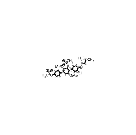 COc1cc(-c2ccc(OS(C)(=O)=O)cc2)c(OC)c(OS(C)(=O)=O)c1-c1ccc(OCC=C(C)C)c(Cl)c1